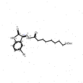 CCCCCCCCCCCCCCCCCC(=O)N/N=C1/C(=O)Nc2ccc(Br)cc21